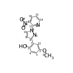 COc1ccc(O)c(-c2ccn(-c3ncccc3[N+](=O)[O-])n2)c1